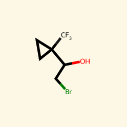 OC(CBr)C1(C(F)(F)F)CC1